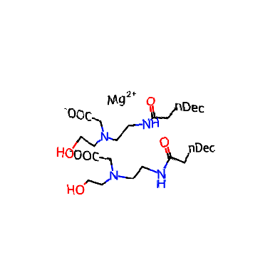 CCCCCCCCCCCC(=O)NCCN(CCO)CC(=O)[O-].CCCCCCCCCCCC(=O)NCCN(CCO)CC(=O)[O-].[Mg+2]